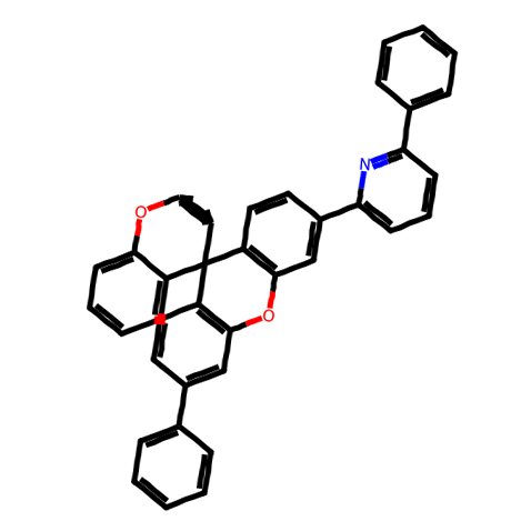 c1ccc(-c2ccc3c(c2)Oc2cc(-c4cccc(-c5ccccc5)n4)ccc2C32c3ccccc3Oc3ccccc32)cc1